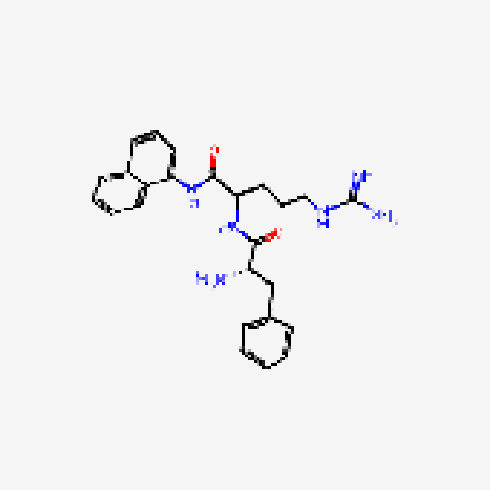 N=C(N)NCCCC(NC(=O)[C@@H](N)Cc1ccccc1)C(=O)Nc1cccc2ccccc12